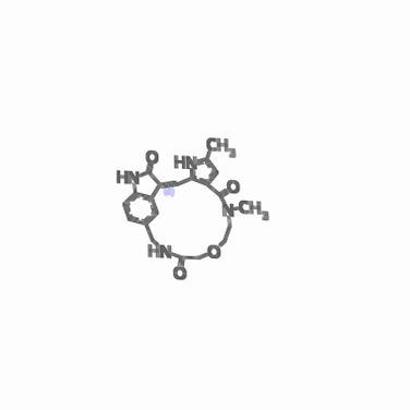 Cc1cc2c([nH]1)/C=C1\C(=O)Nc3ccc(cc31)CNC(=O)COCCN(C)C2=O